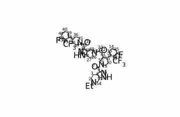 CCN1CCc2c(C(=O)N3CCC(c4cccc(F)c4C(F)(F)F)C(C4OCC4N4CCc5[nH]nc(C(=O)N6CCC(c7cccc(F)c7C(F)(F)F)CC6)c5C4)C3)n[nH]c2C1